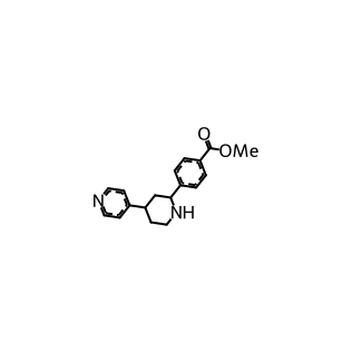 COC(=O)c1ccc(C2CC(c3ccncc3)CCN2)cc1